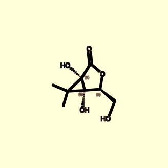 CC1(C)[C@]2(O)[C@H](CO)OC(=O)[C@]12O